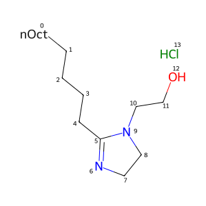 CCCCCCCCCCCCC1=NCCN1CCO.Cl